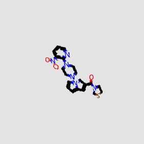 O=C(C1=CC2=CC=C[N@@+]2(N2CCN(c3ncccc3[N+](=O)[O-])CC2)C1)N1CCSC1